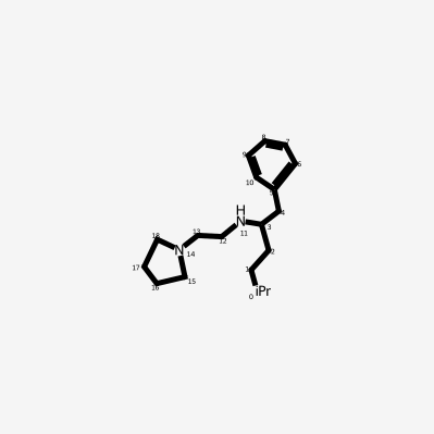 CC(C)CCC(Cc1ccccc1)NCCN1CCCC1